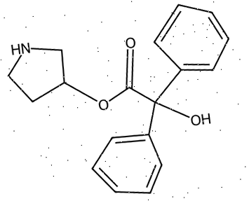 O=C(OC1CCNC1)C(O)(c1ccccc1)c1ccccc1